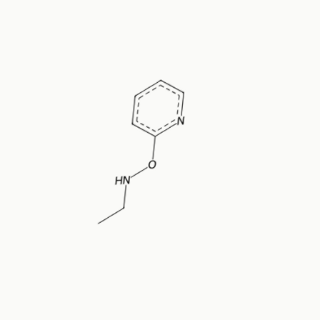 CCNOc1ccccn1